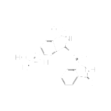 O=C1NS(=O)(=O)c2ccccc21.O=C1NS(=O)(=O)c2ccccc21.O=P(O)(O)O